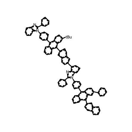 CC(C)(C)c1ccc2c(-c3ccc(-n4c(-c5ccccc5)nc5ccccc54)cc3)c3ccccc3c(-c3ccc4cc(-c5cccc6c5nc(-c5ccccc5)n6-c5ccc(-c6c7ccccc7c(-c7ccc8ccccc8c7)c7cc(-c8ccccc8)ccc67)cc5)ccc4c3)c2c1